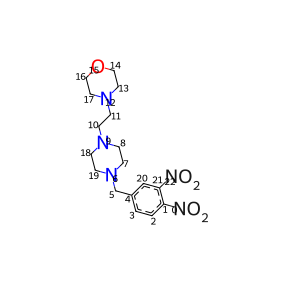 O=[N+]([O-])c1ccc(CN2CCN(CCN3CCOCC3)CC2)cc1[N+](=O)[O-]